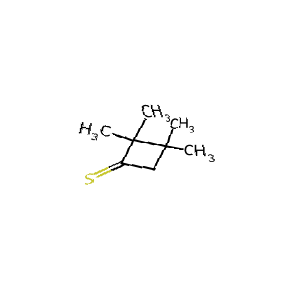 CC1(C)CC(=S)C1(C)C